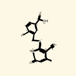 Cc1cc(=O)[nH]c(SCc2cc(C(=O)O)ccc2Cl)c1C#N